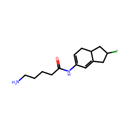 NCCCCC(=O)NC1=CCC2CC(F)CC2=C1